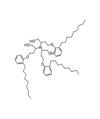 CCCCCCCCCc1ccccc1OCCC(CO)N(C(CO)CCOc1ccccc1CCCCCCCCC)C(CO)CCOc1ccccc1CCCCCCCCC